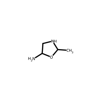 CC1NCC(N)O1